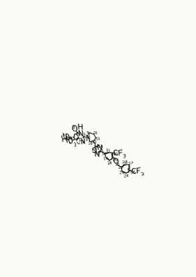 CC(C)(C)OC(=O)NC(=NC(=O)O)N1CCCC(c2nc(-c3ccc(OCc4ccc(C(F)(F)F)cc4)c(C(F)(F)F)c3)no2)C1